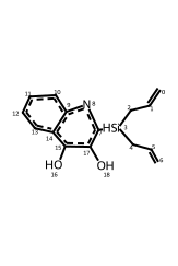 C=CC[SiH](CC=C)c1nc2ccccc2c(O)c1O